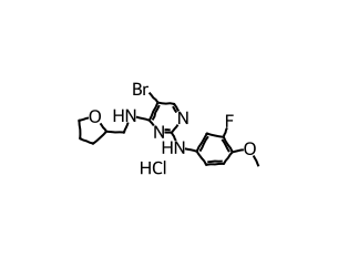 COc1ccc(Nc2ncc(Br)c(NCC3CCCO3)n2)cc1F.Cl